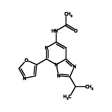 CC(=O)Nc1cc2nc(C(C)C)nn2c(-c2cnco2)n1